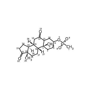 C[C@]12CCC(OS(C)(=O)=O)CC1C(=O)C[C@@H]1[C@H]2CC[C@]2(C)C(=O)CC[C@@H]12